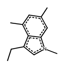 CCc1cn(C)c2cc(C)cc(C)c12